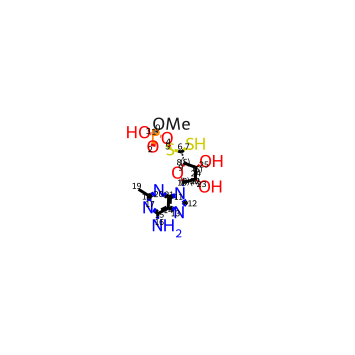 COP(=O)(O)OSC(S)[C@H]1O[C@@H](n2cnc3c(N)nc(C)nc32)[C@H](O)[C@@H]1O